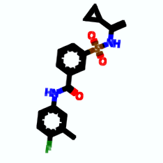 C=C(NS(=O)(=O)c1cccc(C(=O)Nc2ccc(F)c(C)c2)c1)C1CC1